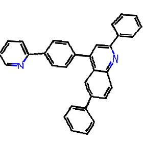 c1ccc(-c2ccc3nc(-c4ccccc4)cc(-c4ccc(-c5ccccn5)cc4)c3c2)cc1